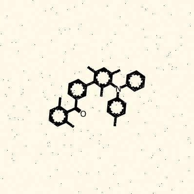 Cc1ccc(N(c2ccccc2)c2c(C)cc(C)c(-c3cccc(C(=O)c4c(C)cccc4C)c3)c2C)cc1